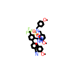 COc1ccc(CN(Cc2ccc(OC)cc2)S(=O)(=O)c2c(C(F)(F)F)ccc(-c3ccc(C#N)cc3)c2-c2nnnn2Cc2ccc(OC)cc2)cc1